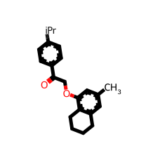 Cc1cc2c(c(OCC(=O)c3ccc(C(C)C)cc3)c1)CCCC2